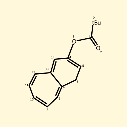 CC(C)(C)C(=O)OC1=CCC2=CC=CC=CC2=C1